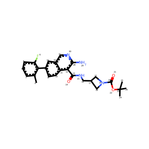 Cc1cccc(F)c1-c1ccc2c(C(=O)NCC3CN(C(=O)OC(C)(C)C)C3)c(N)ncc2c1